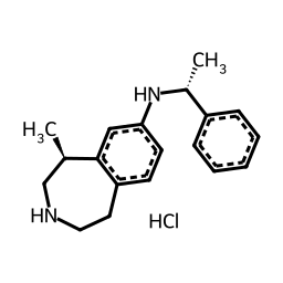 C[C@@H]1CNCCc2ccc(N[C@H](C)c3ccccc3)cc21.Cl